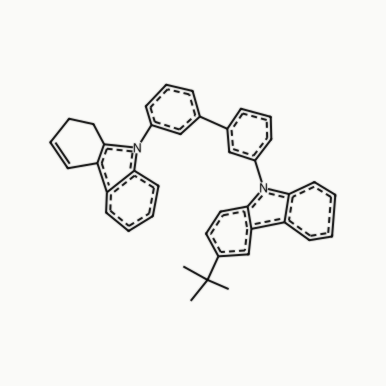 CC(C)(C)c1ccc2c(c1)c1ccccc1n2-c1cccc(-c2cccc(-n3c4c(c5ccccc53)C=CCC4)c2)c1